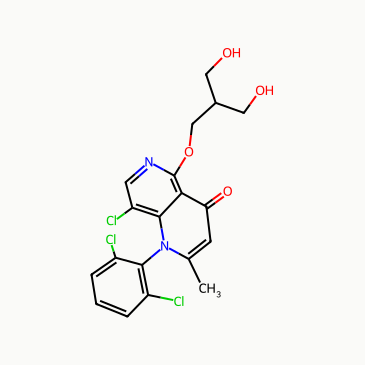 Cc1cc(=O)c2c(OCC(CO)CO)ncc(Cl)c2n1-c1c(Cl)cccc1Cl